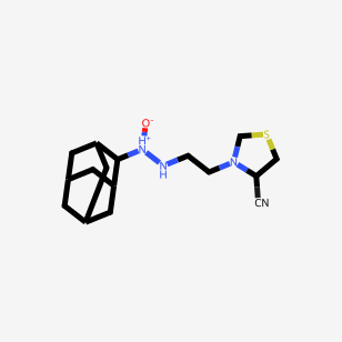 N#CC1CSCN1CCN[NH+]([O-])C1C2CC3CC(C2)CC1C3